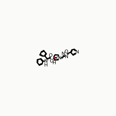 O=C(O[C@H]1C[N+]2(Cc3noc(-c4ccncc4)n3)CCC1CC2)[C@H](Nc1ccccc1)c1ccccc1